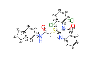 O=C(CSc1nc2ccccc2c(=O)n1-c1c(Cl)cccc1Cl)Nc1ccc2c(c1)CCC2